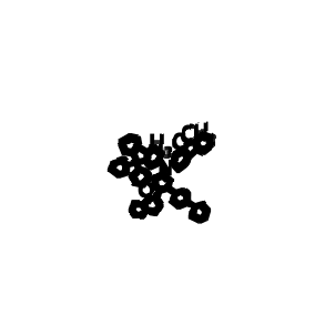 CC1(C)c2ccccc2-c2ccc(N(c3ccc4c(c3)C(c3ccccc3)(c3ccccc3)c3ccccc3-4)c3cc(-c4ccc(-c5ccccc5)cc4)c4c(c3)oc3c5ccccc5ccc34)cc21